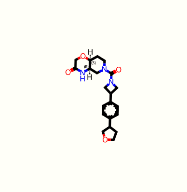 O=C1CO[C@H]2CCN(C(=O)N3CC(c4ccc(C5CCOC5)cc4)C3)C[C@H]2N1